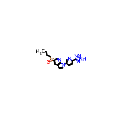 CCCC[S+]([O-])c1cnc2c(ccn2-c2ccc(-c3nn[nH]n3)nc2)c1